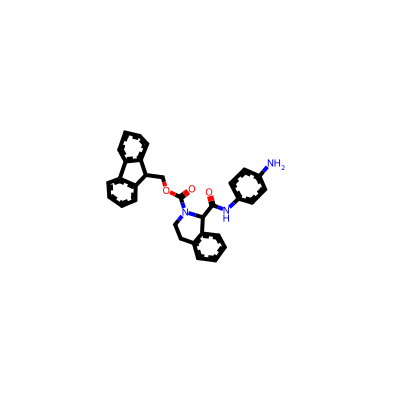 Nc1ccc(NC(=O)C2c3ccccc3CCN2C(=O)OCC2c3ccccc3-c3ccccc32)cc1